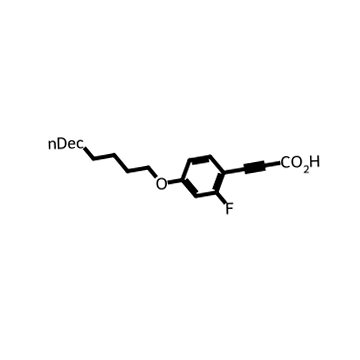 CCCCCCCCCCCCCCOc1ccc(C#CC(=O)O)c(F)c1